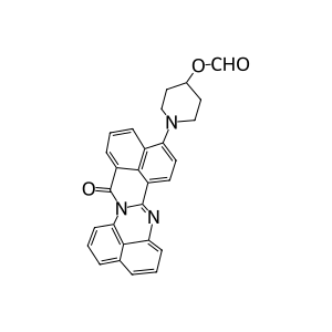 O=COC1CCN(c2ccc3c4c2cccc4c(=O)n2c4cccc5cccc(nc32)c54)CC1